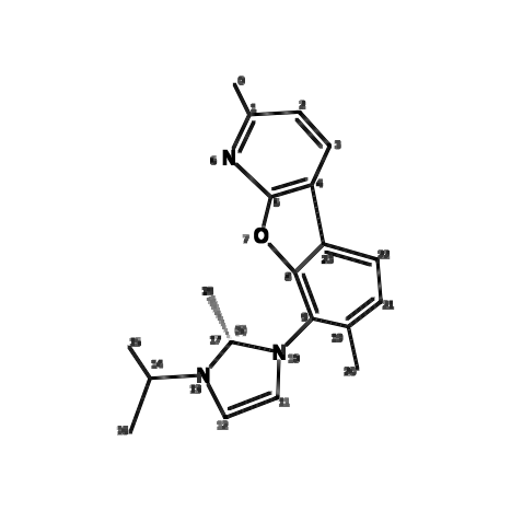 Cc1ccc2c(n1)oc1c(N3C=CN(C(C)C)[C@@H]3C)c(C)ccc12